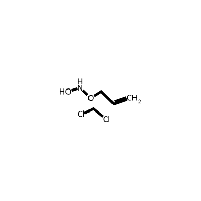 C=CCONO.ClCCl